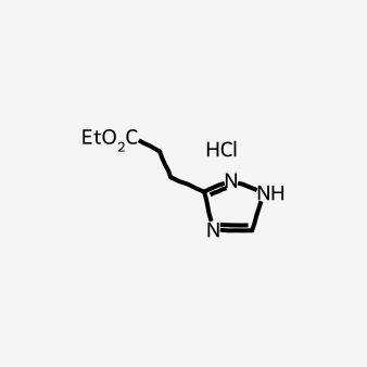 CCOC(=O)CCc1nc[nH]n1.Cl